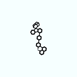 c1ccc2c(c1)-c1c(-c3ccc(-c4ccc5c(c4)-c4cccc6cccc(c46)S5)cc3)cccc1C21C2CC3CC(C2)CC1C3